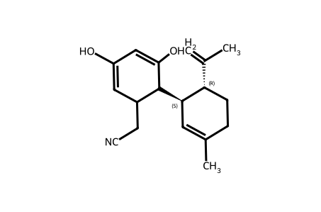 C=C(C)[C@@H]1CCC(C)=C[C@H]1C1C(O)=CC(O)=CC1CC#N